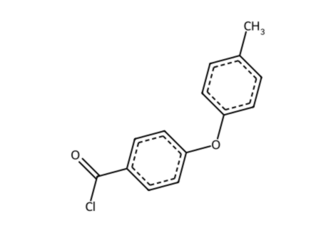 Cc1ccc(Oc2ccc(C(=O)Cl)cc2)cc1